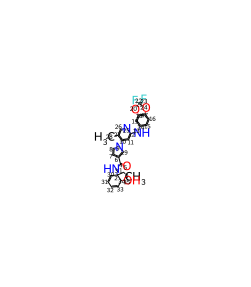 CCC1(NC(=O)c2ccn(-c3cc(Nc4ccc5c(c4)OC(F)(F)O5)ncc3C)c2)C=CC=CC1O